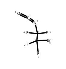 O=C=NC(F)(F)C(F)(F)Br